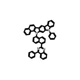 c1ccc(-c2nc(-c3cccc4c(-n5c6cc7c(cc6c6ccc8ccccc8c65)c5ccccc5n7-c5ccccc5)cccc34)nc3ccccc23)cc1